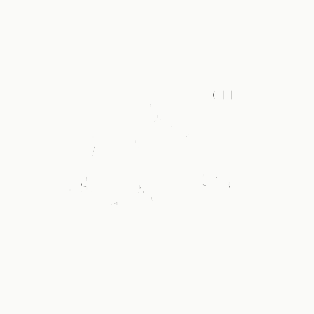 CC(C)Oc1cs[c]n1